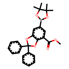 COC(=O)c1cc(B2OC(C)(C)C(C)(C)O2)cc2c1OC(c1ccccc1)(c1ccccc1)O2